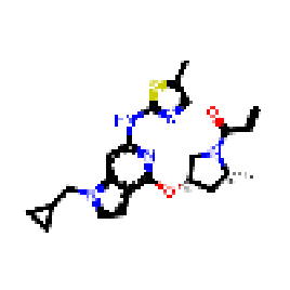 C=CC(=O)N1C[C@@H](Oc2nc(Nc3ncc(C)s3)cc3c2ccn3CC2CC2)C[C@H]1C